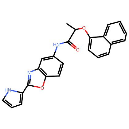 CC(Oc1cccc2ccccc12)C(=O)Nc1ccc2oc(-c3ccc[nH]3)nc2c1